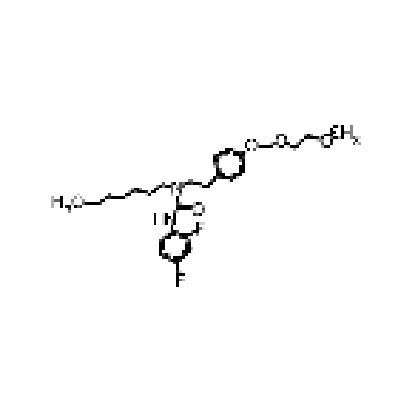 CCCCCCCN(CCc1ccc(OCOCCOC)cc1)C(=O)Nc1ccc(F)cc1F